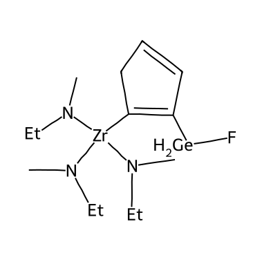 CC[N](C)[Zr]([C]1=[C]([GeH2][F])C=CC1)([N](C)CC)[N](C)CC